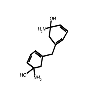 NC1(O)C=CC=C(CC2=CC=CC(N)(O)C2)C1